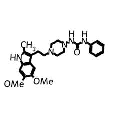 COc1cc2[nH]c(C)c(CCN3CCN(NC(=O)Nc4ccccc4)CC3)c2cc1OC